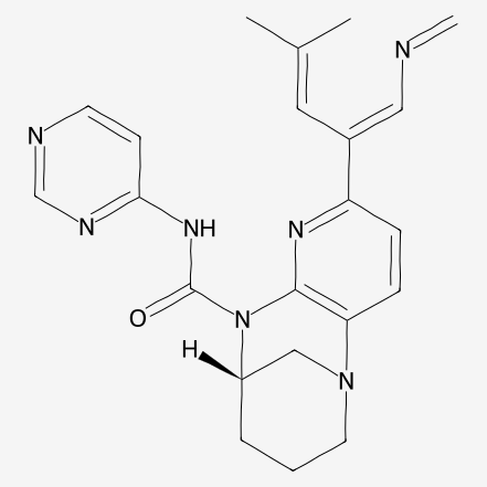 C=N/C=C(\C=C(C)C)c1ccc2c(n1)N(C(=O)Nc1ccncn1)[C@H]1CCCN2C1